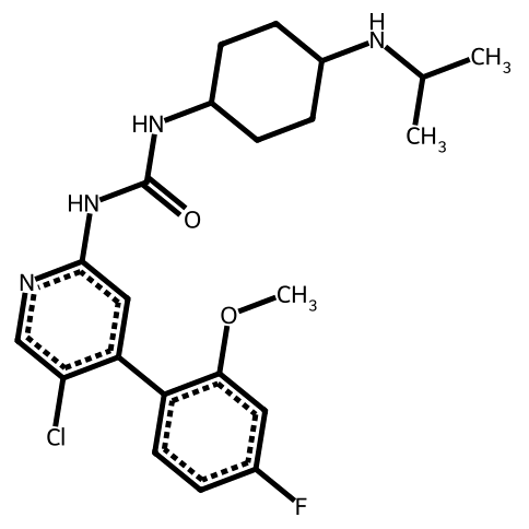 COc1cc(F)ccc1-c1cc(NC(=O)NC2CCC(NC(C)C)CC2)ncc1Cl